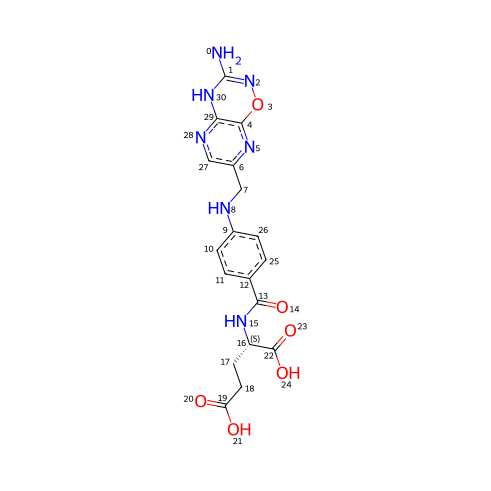 NC1=NOc2nc(CNc3ccc(C(=O)N[C@@H](CCC(=O)O)C(=O)O)cc3)cnc2N1